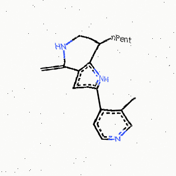 C=C1NCC(CCCCC)c2[nH]c(-c3ccncc3C)cc21